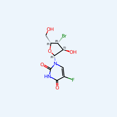 O=c1[nH]c(=O)n([C@@H]2O[C@H](CO)[C@H](Br)[C@H]2O)cc1F